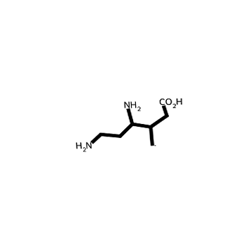 [CH2]C(CC(=O)O)C(N)CCN